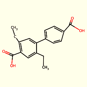 CCc1cc(-c2ccc(C(=O)O)cc2)c(CC)cc1C(=O)O